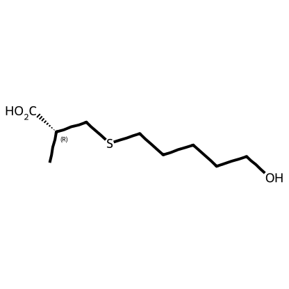 C[C@@H](CSCCCCCO)C(=O)O